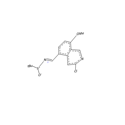 COc1ccc(/C=N/[S+]([O-])C(C)(C)C)c2cc(Cl)ncc12